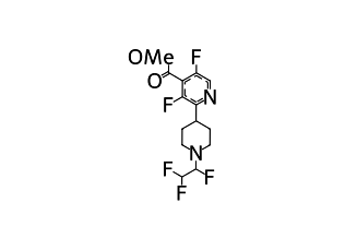 COC(=O)c1c(F)cnc(C2CCN(C(F)C(F)F)CC2)c1F